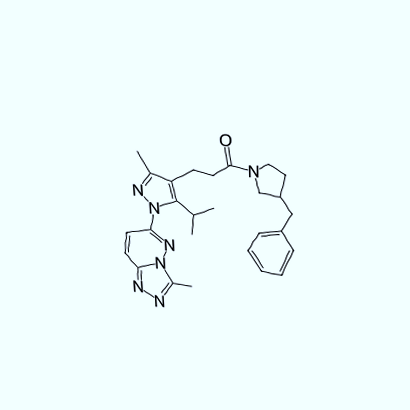 Cc1nn(-c2ccc3nnc(C)n3n2)c(C(C)C)c1CCC(=O)N1CCC(Cc2ccccc2)C1